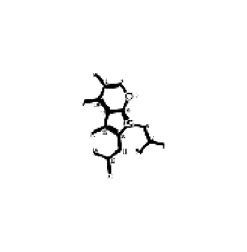 Cc1coc2[si](CC(C)C)c(CC(C)C)c(C)c-2c1C